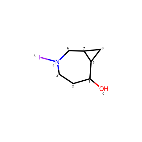 OC1CCN(I)CC2CC12